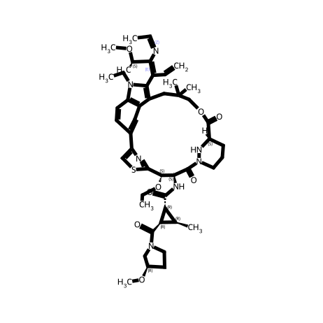 C=C/C(=C(\N=C/C)[C@H](C)OC)c1c2c3cc(ccc3n1CC)-c1csc(n1)[C@@H](OCC)[C@H](NC(=O)[C@@H]1[C@@H](C)[C@H]1C(=O)N1CC[C@@H](OC)C1)C(=O)N1CCC[C@H](N1)C(=O)OCC(C)(C)C2